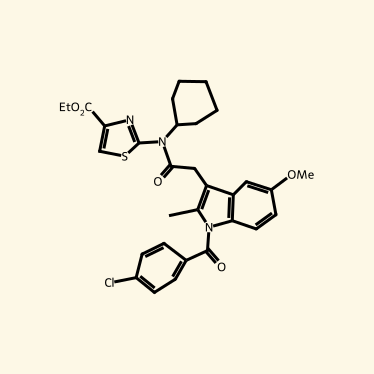 CCOC(=O)c1csc(N(C(=O)Cc2c(C)n(C(=O)c3ccc(Cl)cc3)c3ccc(OC)cc23)C2CCCCC2)n1